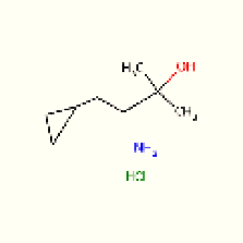 CC(C)(O)CCC1CC1.Cl.N